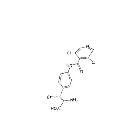 CCC(c1ccc(NC(=O)c2c(Cl)cncc2Cl)cc1)C(N)C(=O)O